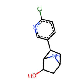 OC1CC2CC(c3ccc(Cl)nc3)C1N2